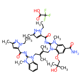 CCn1nc(C)cc1C(=O)/N=c1\n(C)c2ccccc2n1C/C(C)=C(\C)Cn1/c(=N/C(=O)c2cc(C)nn2CC)n(C)c2cc(C(N)=O)cc(OCC(C)(C)O)c21.O=C(O)C(F)(F)F